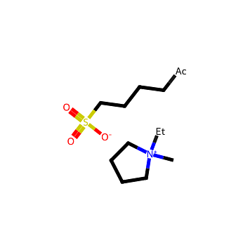 CC(=O)CCCCS(=O)(=O)[O-].CC[N+]1(C)CCCC1